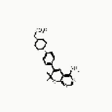 CC1(C)Oc2ncnc(N)c2C=C1c1ccc([C@H]2CC[C@H](CC(=O)O)CC2)cc1